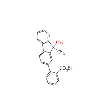 CCOC(=O)c1ccccc1-c1ccc2c(c1)C(O)(C(F)(F)F)c1ccccc1-2